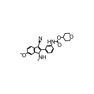 CNC1C(c2cccc(NC(=O)OC3CCOCC3)c2)=C(C#N)c2ccc(OC)cc21